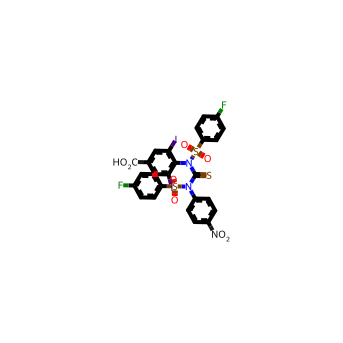 O=C(O)c1cc(I)c(N(C(=S)N(c2ccc([N+](=O)[O-])cc2)S(=O)(=O)c2ccc(F)cc2)S(=O)(=O)c2ccc(F)cc2)c(I)c1